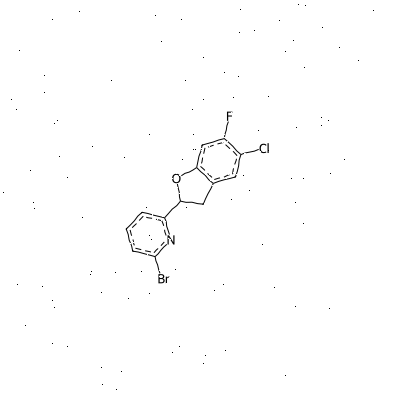 Fc1cc2c(cc1Cl)CC(c1cccc(Br)n1)O2